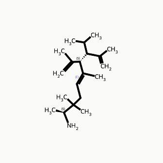 C=C(C)C(C(C)C)[C@@H](C(=C)C)/C(C)=C/CC(C)(C)[C@H](C)N